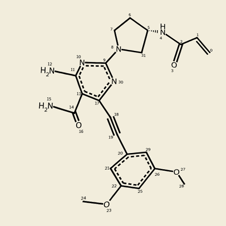 C=CC(=O)N[C@H]1CCN(c2nc(N)c(C(N)=O)c(C#Cc3cc(OC)cc(OC)c3)n2)C1